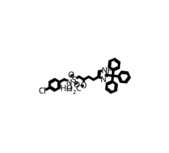 O=C(O)OC(CCc1c[nH]c(C(c2ccccc2)(c2ccccc2)c2ccccc2)n1)CS(=O)(=O)NCc1ccc(Cl)cc1